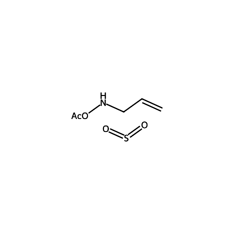 C=CCNOC(C)=O.O=S=O